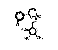 C[C@@H]1O[C@H](COP2(=O)OCC[C@@H](c3cccc(Cl)c3)O2)C(O)[C@@H]1O